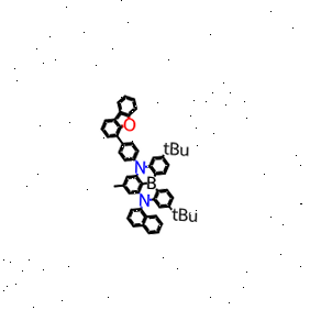 Cc1cc2c3c(c1)N(c1cccc4ccccc14)c1cc(C(C)(C)C)ccc1B3c1ccc(C(C)(C)C)cc1N2c1ccc(-c2cccc3c2oc2ccccc23)cc1